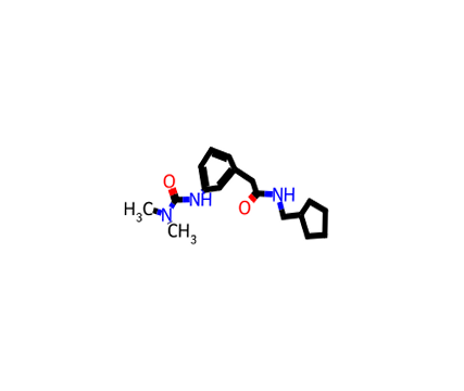 CN(C)C(=O)Nc1cccc(CC(=O)NCC2CCCC2)c1